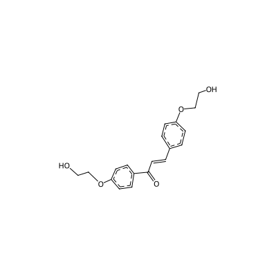 O=C(C=Cc1ccc(OCCO)cc1)c1ccc(OCCO)cc1